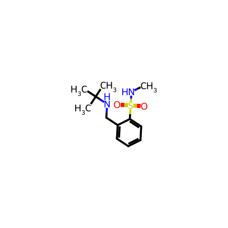 CNS(=O)(=O)c1ccccc1CNC(C)(C)C